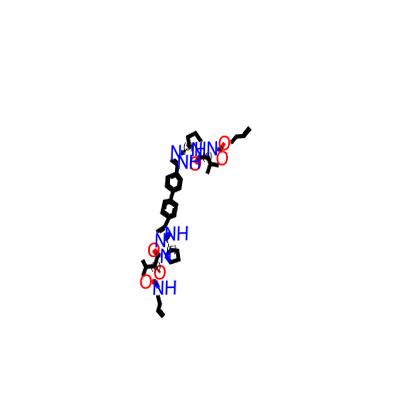 C=CCCNC(=O)O[C@H](C(=O)N1CCC[C@H]1c1ncc(-c2ccc(-c3ccc(-c4cnc([C@@H]5CCCN5C(=O)[C@@H](NC(=O)OCCC=C)C(C)C)[nH]4)cc3)cc2)[nH]1)C(C)C